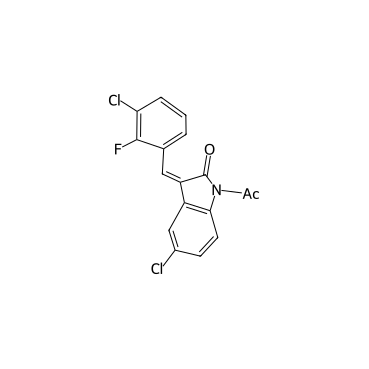 CC(=O)N1C(=O)C(=Cc2cccc(Cl)c2F)c2cc(Cl)ccc21